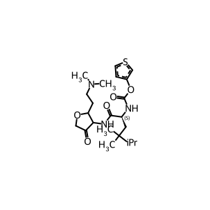 CC(C)C(C)(C)C[C@H](NC(=O)Oc1ccsc1)C(=O)NC1C(=O)COC1CCN(C)C